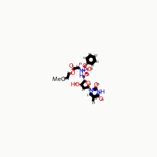 COCCOC(=O)[C@H](C)N[P@](=O)(OC[C@@H]1O[C@H](n2cc(C)c(=O)[nH]c2=O)C[C@H]1O)Oc1ccccc1